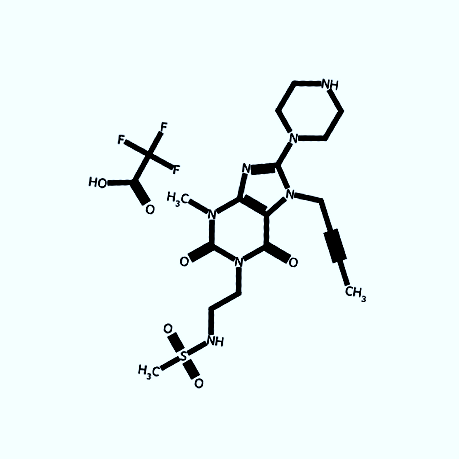 CC#CCn1c(N2CCNCC2)nc2c1c(=O)n(CCNS(C)(=O)=O)c(=O)n2C.O=C(O)C(F)(F)F